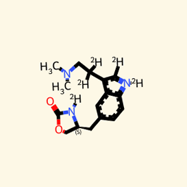 [2H]c1c(C([2H])([2H])CN(C)C)c2cc(C[C@H]3COC(=O)N3[2H])ccc2n1[2H]